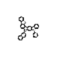 c1ccc(-n2c3ccccc3c3cc4c5c6sc7ccccc7c6ccc5n(-c5ccc6ccccc6c5)c4cc32)cc1